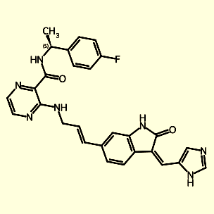 C[C@H](NC(=O)c1nccnc1NCC=Cc1ccc2c(c1)NC(=O)C2=Cc1cnc[nH]1)c1ccc(F)cc1